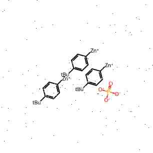 CC(C)(C)c1cc[c]([Zn+])cc1.CC(C)(C)c1cc[c]([Zn+])cc1.CC(C)(C)c1cc[c]([Zn+])cc1.O=P([O-])([O-])[O-]